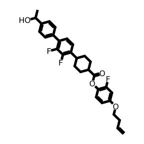 C=CCCOc1ccc(OC(=O)C2CCC(c3ccc(-c4ccc(C(C)O)cc4)c(F)c3F)CC2)c(F)c1